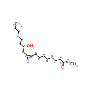 CCCCCC[C@H](O)CC1NC1CCCCCCCC(=O)OC